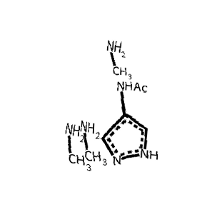 CC(=O)Nc1cn[nH]c1.CN.CN.CN